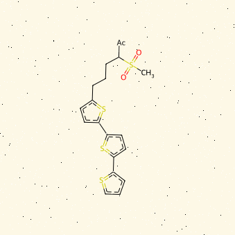 CC(=O)C(CCCc1ccc(-c2ccc(-c3cccs3)s2)s1)S(C)(=O)=O